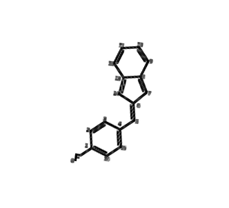 Fc1ccc(C=C2C=c3ccccc3=C2)cc1